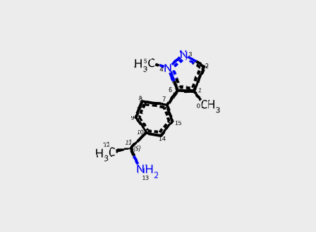 Cc1cnn(C)c1-c1ccc([C@H](C)N)cc1